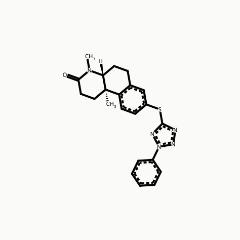 CN1C(=O)CC[C@]2(C)c3ccc(Sc4nnn(-c5ccccc5)n4)cc3CC[C@@H]12